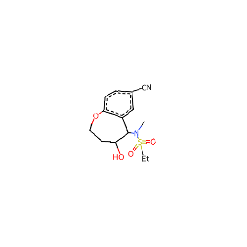 CCS(=O)(=O)N(C)C1c2cc(C#N)ccc2OCCC1O